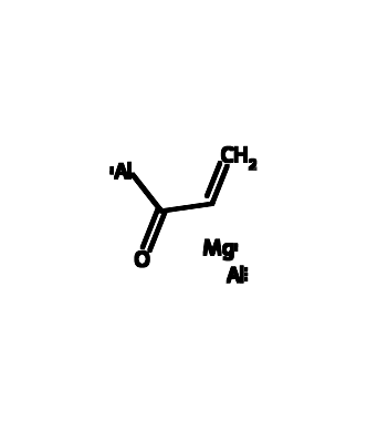 C=C[C](=O)[Al].[Al].[Mg]